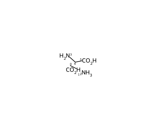 CC(=O)O.N.NCC(=O)O